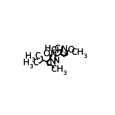 CCC(CC)c1cc(C)n2nc(-c3ccc(OC)nc3C)n(C)c(=O)c12